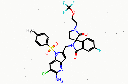 Cc1ccc(S(=O)(=O)n2c(CN3C(=O)c4cc(F)ccc4[C@]34CCN(CCOC(F)(F)F)C4=O)cc3nc(N)c(Cl)cc32)cc1